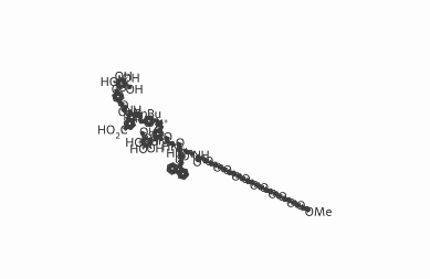 CCCCc1nc2c(NC(=O)OCc3ccc(O[C@H]4O[C@H](CO)[C@@H](O)[C@H](O)[C@@H]4O)cc3)nc3cc(C(=O)O)ccc3c2n1Cc1ccc(C[N+](C)(C)Cc2ccc(O[C@H]3O[C@H](CO)[C@@H](O)[C@H](O)[C@@H]3O)c(NC(=O)CCNC(=O)[C@H](CCCCNC(=O)CCOCCOCCOCCOCCOCCOCCOCCOCCOCCOCCOCCOC)NC(=O)OCC3c4ccccc4-c4ccccc43)c2)cc1